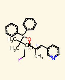 C/C(=C\c1cccnc1)[C@H](CCI)O[Si](c1ccccc1)(c1ccccc1)C(C)(C)C